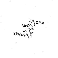 CCCOc1ccc2c(c1)CCN=C2C=Cc1cc(OC)ccc1OC